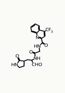 O=CC(CC1CCNC1=O)NC(=O)CNC(=O)c1cc(C(F)(F)F)c2ccccc2n1